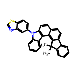 CC1(C)c2ccccc2-c2ccc3ccc4c(c5ccccc5n4-c4ccc5scnc5c4)c3c21